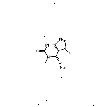 Cn1c(=O)[nH]c2ncn(C)c2c1=O.[Na]